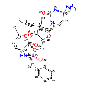 CC#C[C@@]1(F)C(O)[C@@H](CO[P@@](=O)(N[C@@H](C)C(=O)OC(C)C)Oc2ccccc2)O[C@H]1n1ccc(N)nc1=O